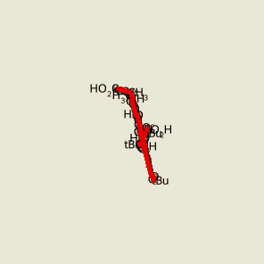 CC(C)(C)OC(=O)CCCCCCCCCCCCCCCCC(=O)N[C@@H](CCC(=O)N[C@@H](CCC(=O)NCCOCCOCC(=O)NCCOCCOCC(=O)NCC[N+](C)(C)CCOCCOCCC(=O)O)C(=O)OC(C)(C)C)C(=O)OC(C)(C)C.O=C([O-])O